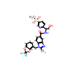 CS(=O)(=O)c1ccc(C(CO)NC(=O)c2ccc3c(c2)nc(C(F)(F)F)n3Cc2cccc3c2OC(F)(F)O3)nc1